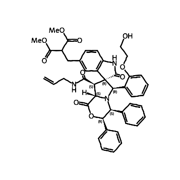 C=CCNC(=O)[C@@H]1[C@H]2C(=O)O[C@H](c3ccccc3)[C@H](c3ccccc3)N2[C@H](c2ccccc2OCCO)[C@@]12C(=O)Nc1ccc(CC(C(=O)OC)C(=O)OC)cc12